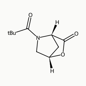 CC(C)(C)C(=O)N1C[C@@H]2C[C@H]1C(=O)O2